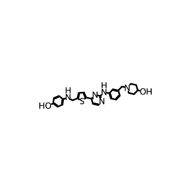 Oc1ccc(NCc2ccc(-c3ccnc(Nc4cccc(CN5CCC(O)CC5)c4)n3)s2)cc1